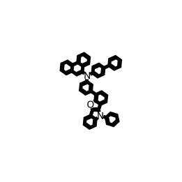 c1ccc(-c2ccc(N(c3cccc(-c4cccc5c4oc4c6ccccc6n(-c6ccccc6)c54)c3)c3cc4ccccc4c4ccccc34)cc2)cc1